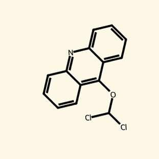 ClC(Cl)Oc1c2ccccc2nc2ccccc12